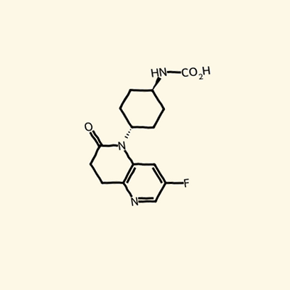 O=C(O)N[C@H]1CC[C@H](N2C(=O)CCc3ncc(F)cc32)CC1